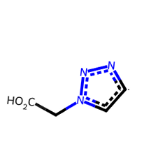 O=C(O)Cn1c[c]nn1